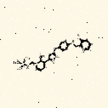 NC1C(c2cc(Cc3ccc(OCc4ncccc4F)nc3)no2)=CC=CN1COP(=O)(O)O